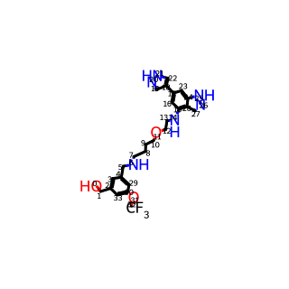 OCc1cc(CNCCCCOCCNc2cc(-c3cn[nH]c3)cc3[nH]ncc23)cc(OC(F)(F)F)c1